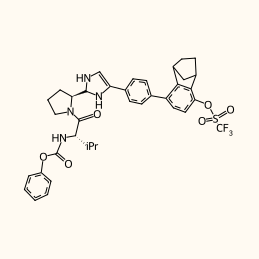 CC(C)[C@H](NC(=O)Oc1ccccc1)C(=O)N1CCC[C@H]1C1NC=C(c2ccc(-c3ccc(OS(=O)(=O)C(F)(F)F)c4c3C3CCC4C3)cc2)N1